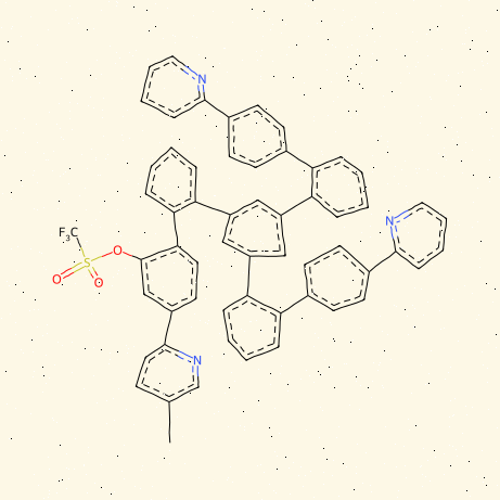 Cc1ccc(-c2ccc(-c3ccccc3-c3cc(-c4ccccc4-c4ccc(-c5ccccn5)cc4)cc(-c4ccccc4-c4ccc(-c5ccccn5)cc4)c3)c(OS(=O)(=O)C(F)(F)F)c2)nc1